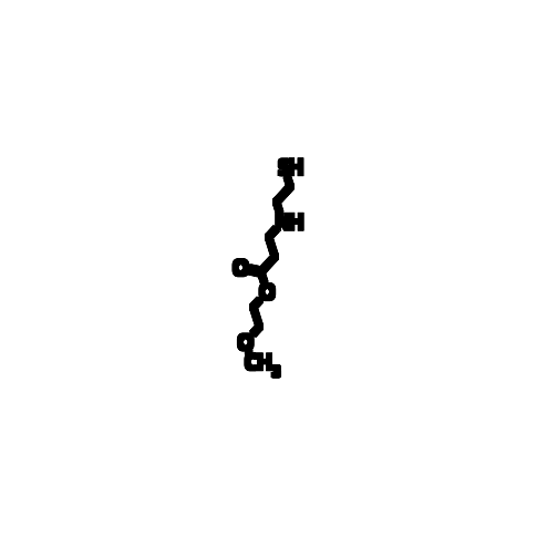 COCCOC(=O)CCNCCS